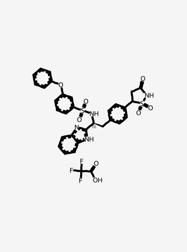 O=C(O)C(F)(F)F.O=C1CC(c2ccc(C[C@H](NS(=O)(=O)c3cccc(Oc4ccccc4)c3)c3nc4ccccc4[nH]3)cc2)S(=O)(=O)N1